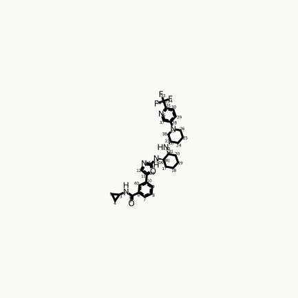 O=C(NC1CC1)c1cccc(-c2cnc(N[C@@H]3CCCC[C@H]3N[C@H]3CCCN(c4ccc(C(F)(F)F)nc4)C3)o2)c1